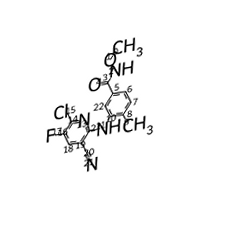 CONC(=O)c1ccc(C)c(Nc2nc(Cl)c(F)cc2C#N)c1